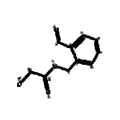 O=Cc1ccccc1COC(=O)CCl